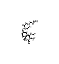 O=c1[nH]c2ccc(OC3CCN(CCO)CC3)cc2c2c1CSCC2